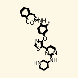 [O-][S+](Cc1ccccc1Cl)Nc1ccc(Oc2ncsc2-c2ccnc(NC3CCCNC3)n2)cc1F